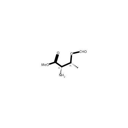 COC(=O)[C@@H](N)[C@@H](C)OC=O